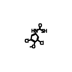 COc1c(Cl)cc(NC(=O)S)cc1Cl